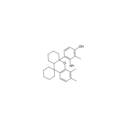 CCCc1c(C23CCCCC2C2(CCCCC2)c2ccc(C)c(C)c2O3)ccc(O)c1C